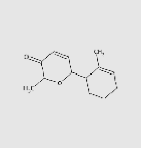 CC1=CCCCC1C1C=CC(=O)C(C)O1